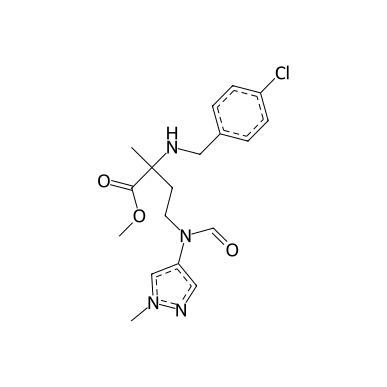 COC(=O)C(C)(CCN(C=O)c1cnn(C)c1)NCc1ccc(Cl)cc1